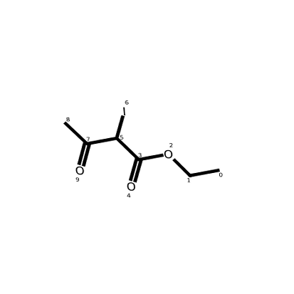 CCOC(=O)C(I)C(C)=O